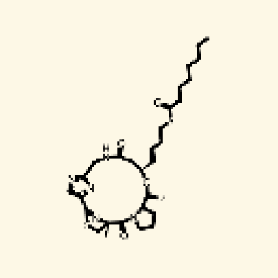 CCCCCCCC(=O)SCC/C=C/[C@@H]1CC(=O)NCc2nc(cs2)C2=N[C@@](C)(CS2)C(=O)N2CCCC2C(=O)O1